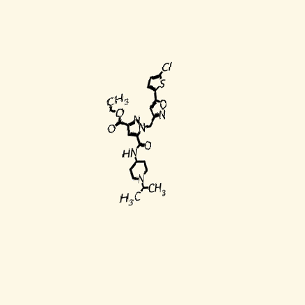 CCOC(=O)c1cc(C(=O)NC2CCN(C(C)C)CC2)n(Cc2cc(-c3ccc(Cl)s3)on2)n1